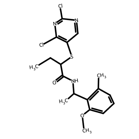 CCC(Sc1cnc(Cl)nc1Cl)C(=O)NC(C)c1c(C)cccc1OC